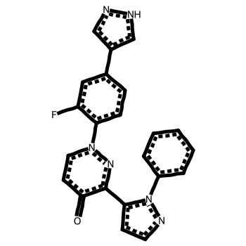 O=c1ccn(-c2ccc(-c3cn[nH]c3)cc2F)nc1-c1ccnn1-c1ccccc1